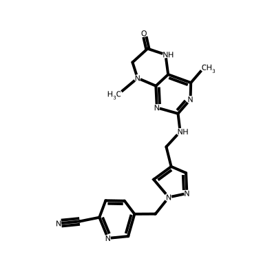 Cc1nc(NCc2cnn(Cc3ccc(C#N)nc3)c2)nc2c1NC(=O)CN2C